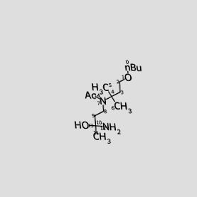 CCCCOCCC(C)(C)N(CCC(C)(N)O)C(C)=O